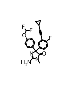 CN1C(=O)C(c2ccc(OC(F)F)cc2)(c2ccc(F)c(C#CC3CC3)c2)N=C1N